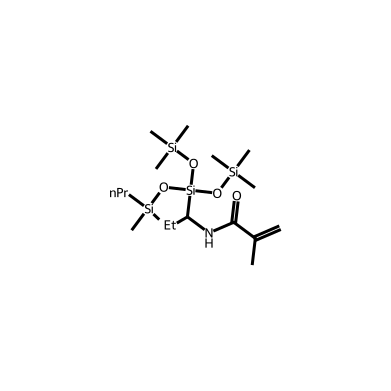 C=C(C)C(=O)NC(CC)[Si](O[Si](C)(C)C)(O[Si](C)(C)C)O[Si](C)(C)CCC